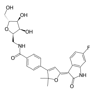 CC1(C)OC(=C2C(=O)Nc3cc(F)ccc32)C=C1c1ccc(C(=O)NC[C@H]2O[C@H](CO)[C@@H](O)[C@H]2O)cc1